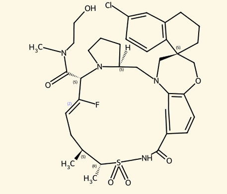 C[C@@H]1[C@@H](C)C/C=C(\F)[C@H](C(=O)N(C)CCO)N2CCC[C@H]2CN2C[C@@]3(CCCc4cc(Cl)ccc43)COc3ccc(cc32)C(=O)NS1(=O)=O